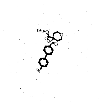 CC(C)(C)OC(=O)C1(S(=O)(=O)c2ccc(-c3ccc(Br)cc3)cc2)CCOCC1